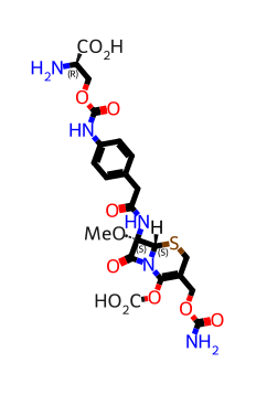 CO[C@@]1(NC(=O)Cc2ccc(NC(=O)OC[C@@H](N)C(=O)O)cc2)C(=O)N2C(OC(=O)O)=C(COC(N)=O)CS[C@H]21